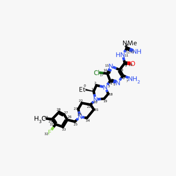 CC[C@H]1CN(c2nc(N)c(C(=O)NC(=N)NC)nc2Cl)CCN1C1CCN(Cc2ccc(C)c(F)c2)CC1